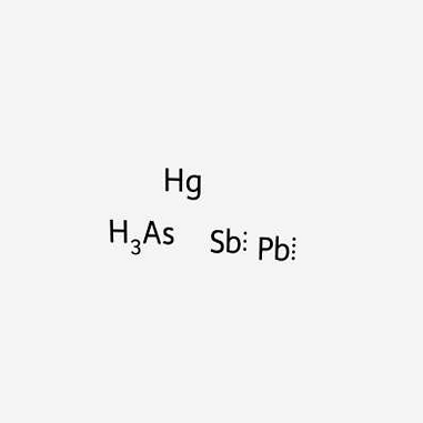 [AsH3].[Hg].[Pb].[Sb]